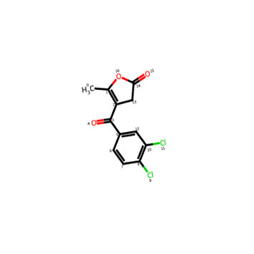 CC1=C(C(=O)c2ccc(Cl)c(Cl)c2)CC(=O)O1